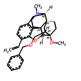 C=Cc1ccc2c3c1O[C@H]1[C@@]4(OC)CC[C@@]5(C[C@@H]4COCc4ccccc4)[C@@H](C2)N(C)CC[C@]315